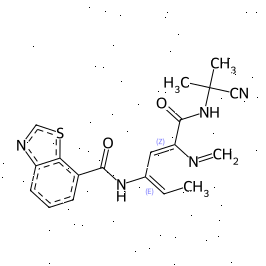 C=N/C(=C\C(=C/C)NC(=O)c1cccc2ncsc12)C(=O)NC(C)(C)C#N